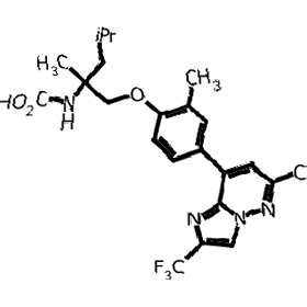 Cc1cc(-c2cc(Cl)nn3cc(C(F)(F)F)nc23)ccc1OCC(C)(CC(C)C)NC(=O)O